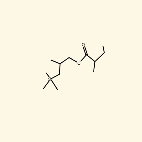 CCC(C)C(=O)OCC(C)C[Si](C)(C)C